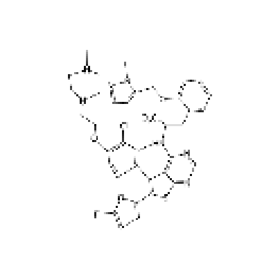 Cc1c(-c2c(-c3ccc(F)o3)sc3ncnc(NC(Cc4ccccc4OCc4ccnn4C)C(=O)O)c23)ccc(OCCN2CCN(C)CC2)c1Cl